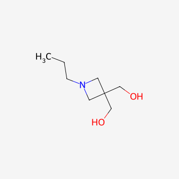 CCCN1CC(CO)(CO)C1